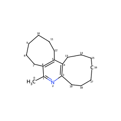 Cc1nc2c(c3c1CCCCCC3)CCCCCCC2